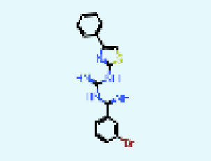 N=C(NC(=N)c1cccc(Br)c1)Nc1nc(-c2ccccc2)cs1